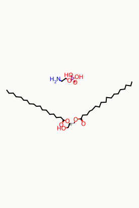 CCCCCCCCCCCCCCCCCC(=O)OC[C@H](CO)OC(=O)CCCCCCCCCCCCCCCCC.NCCOP(=O)(O)O